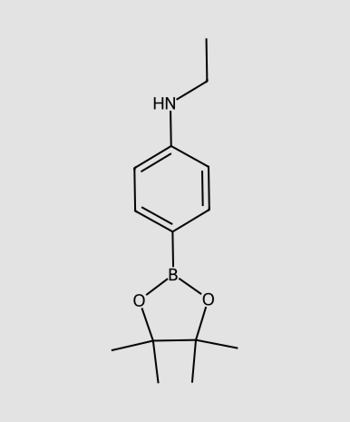 CCNc1ccc(B2OC(C)(C)C(C)(C)O2)cc1